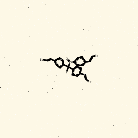 CCC=Cc1ccc([PH](=O)C(I)(c2ccc(C=CCC)cc2)c2ccc(C=CCC)cc2)cc1